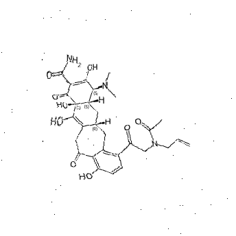 C=CCN(CC(=O)c1ccc(O)c2c1C[C@H]1C[C@H]3[C@H](N(C)C)C(O)=C(C(N)=O)C(=O)[C@@]3(O)C(O)=C1CC2=O)C(C)=O